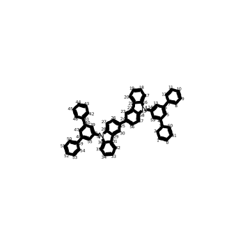 C1=CCC(c2cc(-c3ccccc3)cc(-n3c4ccccc4c4cc(-c5ccc6c(c5)c5ccccc5n6-c5cc(-c6ccccc6)cc(-c6ccccc6)c5)ccc43)c2)C=C1